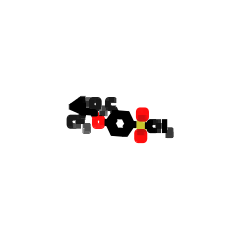 CS(=O)(=O)c1ccc(OCC2(C(F)(F)F)CC2)c(C(=O)O)c1